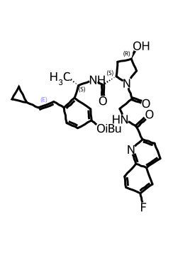 CC(C)COc1ccc(/C=C/C2CC2)c([C@H](C)NC(=O)[C@@H]2C[C@@H](O)CN2C(=O)CNC(=O)c2ccc3cc(F)ccc3n2)c1